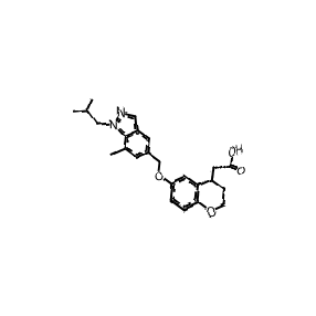 Cc1cc(COc2ccc3c(c2)C(CC(=O)O)CCO3)cc2cnn(CC(C)C)c12